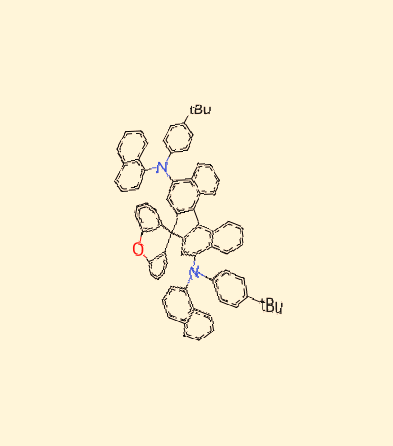 CC(C)(C)c1ccc(N(c2cccc3ccccc23)c2cc3c(c4ccccc24)-c2c(cc(N(c4ccc(C(C)(C)C)cc4)c4cccc5ccccc45)c4ccccc24)C32c3ccccc3Oc3ccccc32)cc1